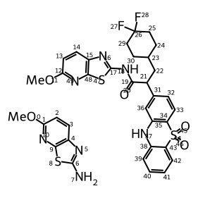 COc1ccc2nc(N)sc2n1.COc1ccc2nc(NC(=O)C(CC3CCC(F)(F)CC3)c3ccc4c(c3)Nc3ccccc3S4(=O)=O)sc2n1